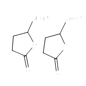 CCCCCCCC1CCC(=O)O1.CCCCCCCC1CCC(=O)O1